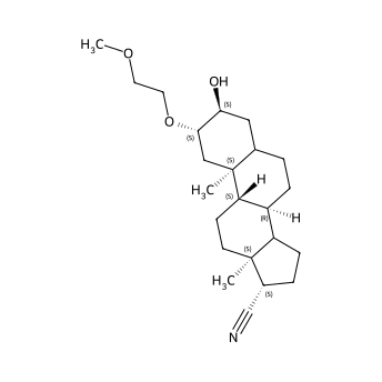 COCCO[C@H]1C[C@@]2(C)C(CC[C@H]3C4CC[C@H](C#N)[C@@]4(C)CC[C@@H]32)C[C@@H]1O